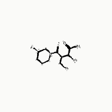 CCCC(C(N)=O)C(CC(C)C)C(=O)N1CCC[C@@H](Br)C1